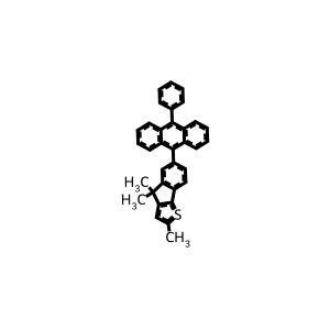 Cc1cc2c(s1)-c1ccc(-c3c4ccccc4c(-c4ccccc4)c4ccccc34)cc1C2(C)C